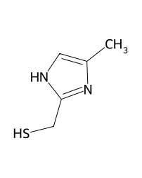 Cc1c[nH]c(CS)n1